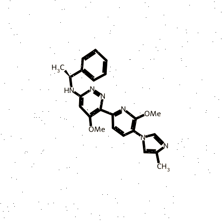 COc1cc(N[C@@H](C)c2ccccc2)nnc1-c1ccc(-n2cnc(C)c2)c(OC)n1